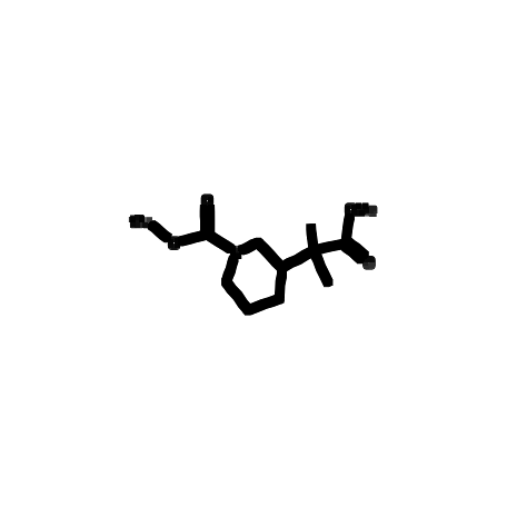 COC(=O)C(C)(C)C1CCCN(C(=O)OC(C)(C)C)C1